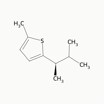 Cc1ccc([C@H](C)C(C)C)s1